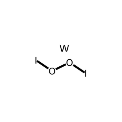 IOOI.[W]